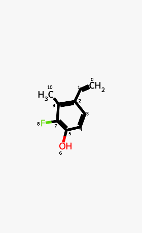 C=Cc1ccc(O)c(F)c1C